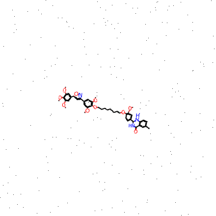 COc1cc(C2NC(=O)c3cc(C)ccc3N2)ccc1OCCCCCCCCOc1c(OC)cc(-c2cc(-c3cc(OC)c(OC)c(OC)c3)on2)cc1OC